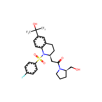 O=C(C[C@@H]1CCc2cc(C(O)(C(F)(F)F)C(F)(F)F)ccc2N1S(=O)(=O)c1ccc(F)cc1)N1CCC[C@@H]1CO